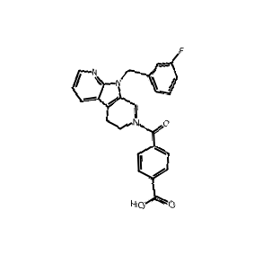 O=C(O)c1ccc(C(=O)N2CCc3c(n(Cc4cccc(F)c4)c4ncccc34)C2)cc1